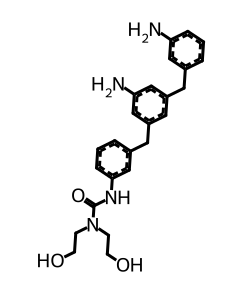 Nc1cccc(Cc2cc(N)cc(Cc3cccc(NC(=O)N(CCO)CCO)c3)c2)c1